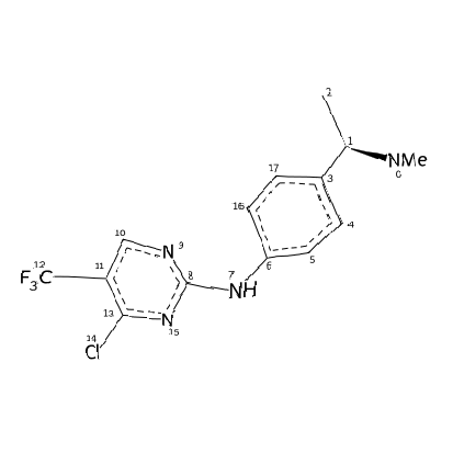 CN[C@H](C)c1ccc(Nc2ncc(C(F)(F)F)c(Cl)n2)cc1